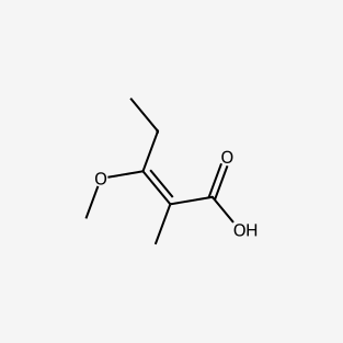 CCC(OC)=C(C)C(=O)O